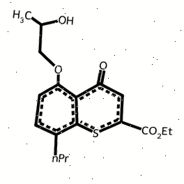 CCCc1ccc(OCC(C)O)c2c(=O)cc(C(=O)OCC)sc12